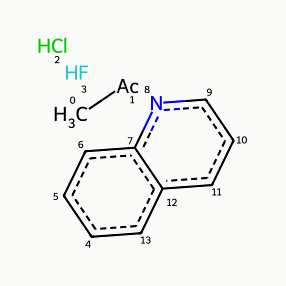 CC(C)=O.Cl.F.c1ccc2ncccc2c1